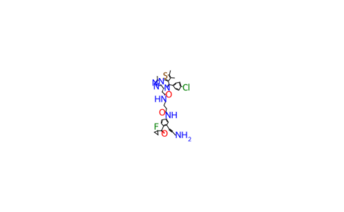 Cc1sc2c(c1C)C(c1ccc(Cl)cc1)=N[C@@H](CC(=O)NCCCC(=O)Nc1ccc(C(=O)C3(F)CC3)c(C#CCN)c1)c1nnc(C)n1-2